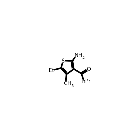 CCCC(=O)c1c(N)sc(CC)c1C